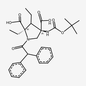 CCC1[C@](CC)(C(=O)O)N(C(=O)C(c2ccccc2)c2ccccc2)C[C@@]1(NC(=O)OC(C)(C)C)C(=O)O